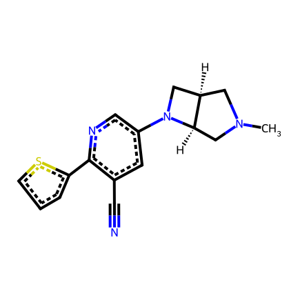 CN1C[C@@H]2CN(c3cnc(-c4cccs4)c(C#N)c3)[C@@H]2C1